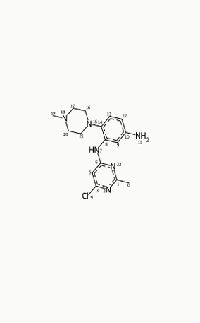 Cc1nc(Cl)cc(Nc2cc(N)ccc2N2CCN(C)CC2)n1